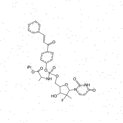 CC(C)OC(=O)C(C)NP(=O)(OCC1OC(n2ccc(=O)[nH]c2=O)C(C)(F)C1O)Oc1ccc(C(=O)C=Cc2ccccc2)cc1